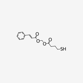 O=C(/C=C/c1ccccc1)OCOC(=O)CCCS